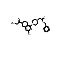 CC(C)(C)OC(=O)N1CCc2c(nc(Cl)nc2N2CCN(CC(=O)OCc3ccccc3)CC2)C1